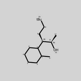 CC1CCCCC1[C@@H](CCC(C)(C)C)[C@@H](C)O